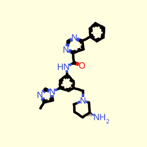 Cc1cn(-c2cc(CN3CCC[C@H](N)C3)cc(NC(=O)c3cc(-c4ccccc4)ncn3)c2)cn1